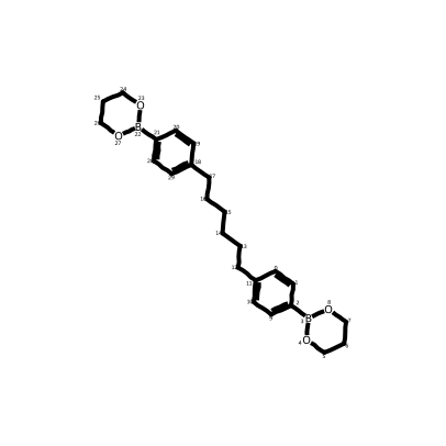 c1cc(B2OCCCO2)ccc1CCCCCCc1ccc(B2OCCCO2)cc1